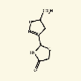 O=C1COC(C2=NOC(C(=O)O)C2)N1